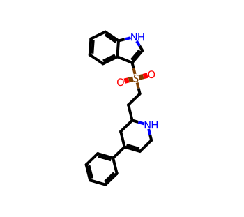 O=S(=O)(CCC1CC(c2ccccc2)=CCN1)c1c[nH]c2ccccc12